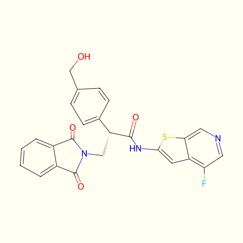 O=C(Nc1cc2c(F)cncc2s1)[C@H](CN1C(=O)c2ccccc2C1=O)c1ccc(CO)cc1